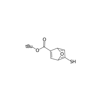 CC(C)(C)OC(=O)c1cc2oc1cc2S